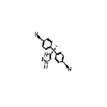 N#Cc1ccc(C(F)(c2ccc(C#N)cc2)c2c[nH]nn2)cc1